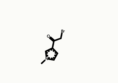 Cn1ccc(C(=O)CBr)c1